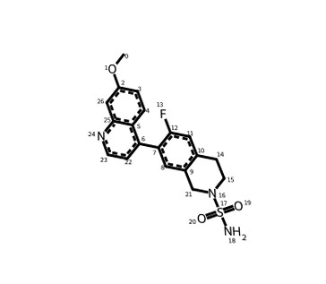 COc1ccc2c(-c3cc4c(cc3F)CCN(S(N)(=O)=O)C4)ccnc2c1